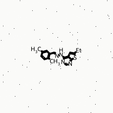 CCc1cc2c(N/N=C/c3cc(C)ccc3C)ncnc2s1